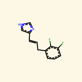 Fc1cccc(CC=Cc2c[nH]cn2)c1F